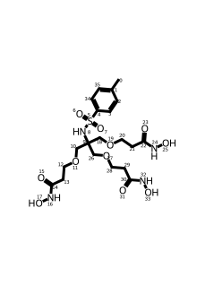 Cc1ccc(S(=O)(=O)NC(COCCC(=O)NO)(COCCC(=O)NO)COCCC(=O)NO)cc1